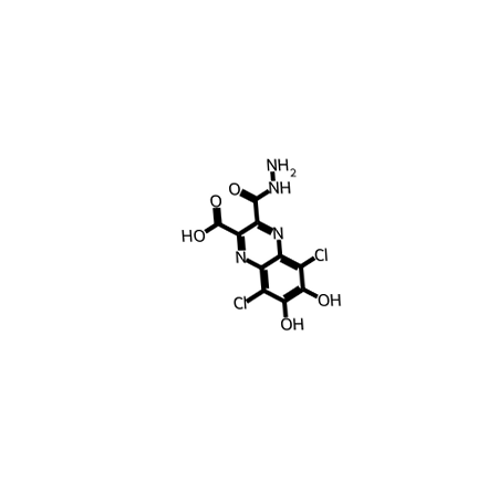 NNC(=O)c1nc2c(Cl)c(O)c(O)c(Cl)c2nc1C(=O)O